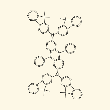 CC1(C)c2ccccc2-c2ccc(N(c3ccc4c(c3)C(C)(C)c3ccccc3-4)c3ccc4c(-c5ccccc5)c5cc(N(c6ccc7c(c6)C(C)(C)c6ccccc6-7)c6ccc7c(c6)C(C)(C)c6ccccc6-7)ccc5c(-c5ccccc5)c4c3)cc21